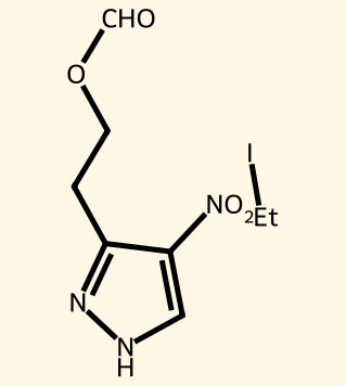 CCI.O=COCCc1n[nH]cc1[N+](=O)[O-]